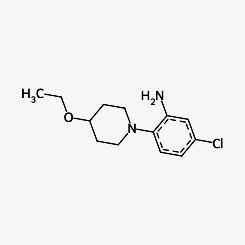 CCOC1CCN(c2ccc(Cl)cc2N)CC1